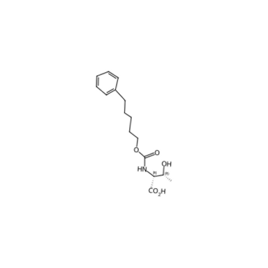 C[C@@H](O)[C@@H](NC(=O)OCCCCCc1ccccc1)C(=O)O